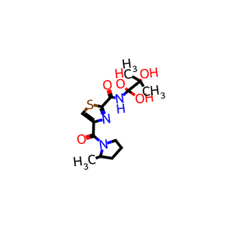 CC1CCCN1C(=O)c1csc(C(=O)NC(O)(O)C(C)(C)O)n1